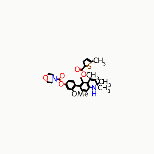 COc1cc(OC(=O)N2CCOCC2)ccc1-c1ccc2c(c1COC(=O)C1CC=C(C)S1)C(C)=CC(C)(C)N2